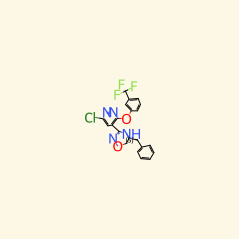 FC(F)(F)c1cccc(Oc2nnc(Cl)cc2C2=NOC[C@H](Cc3ccccc3)N2)c1